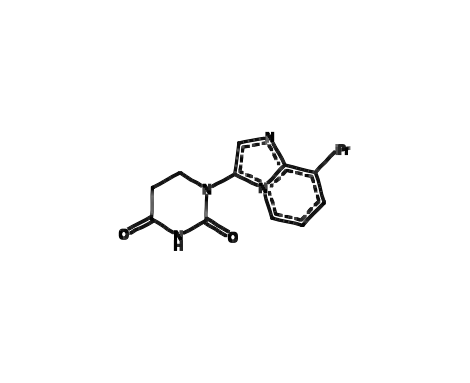 CC(C)c1cccn2c(N3CCC(=O)NC3=O)cnc12